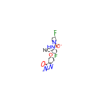 Cn1cnc2ccc(Oc3c(F)ccc(N[S+]([O-])N4CCC(F)C4)c3C#N)cc2c1=O